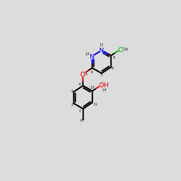 Cc1ccc(Oc2ccc(Cl)nn2)c(O)c1